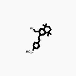 CC(C)Cc1cc2c(cc1C=Cc1ccc(C(=O)O)cc1)C(C)(C)CCC2(C)C